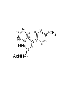 CC(=O)NC[C@@H]1CN(c2ccc(C(F)(F)F)cc2)c2cccnc2N1